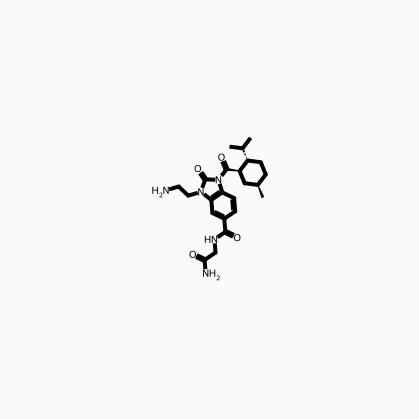 CC(C)[C@@H]1CC[C@@H](C)C[C@H]1C(=O)n1c(=O)n(CCN)c2cc(C(=O)NCC(N)=O)ccc21